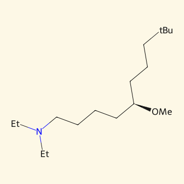 CCN(CC)CCCC[C@@H](CCCC(C)(C)C)OC